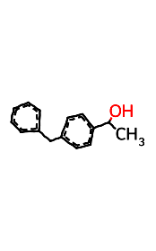 CC(O)c1ccc(Cc2ccccc2)cc1